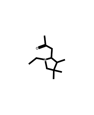 CCN1CC(C)(C)C(C)C1CC(C)=O